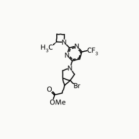 COC(=O)CC1C2CN(c3cc(C(F)(F)F)nc(N4CC[C@@H]4C)n3)CC12Br